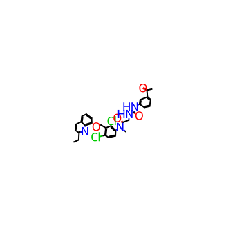 CCc1ccc2cccc(OCc3c(Cl)ccc(N(C)C(=O)CNC(=O)Nc4cccc(C(C)=O)c4)c3Cl)c2n1